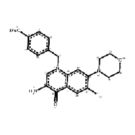 COc1ccc(Cn2cc(N)c(=O)c3cc(F)c(N4CCOCC4)cc32)cc1